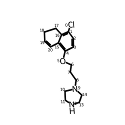 Clc1ccc(OCCCN2CCNCC2)c2c1CCC=C2